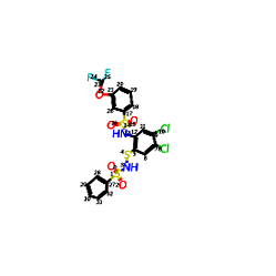 O=S(=O)(NSc1cc(Cl)c(Cl)cc1NS(=O)(=O)c1cccc(OC(F)F)c1)c1ccccc1